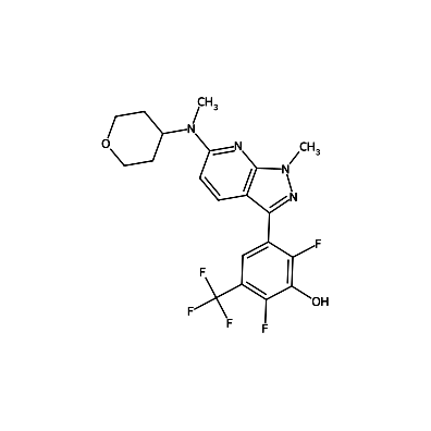 CN(c1ccc2c(-c3cc(C(F)(F)F)c(F)c(O)c3F)nn(C)c2n1)C1CCOCC1